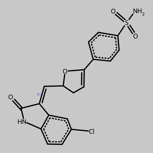 NS(=O)(=O)c1ccc(C2=CCC(/C=C3/C(=O)Nc4ccc(Cl)cc43)O2)cc1